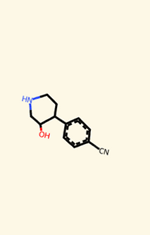 N#Cc1ccc(C2CCNCC2O)cc1